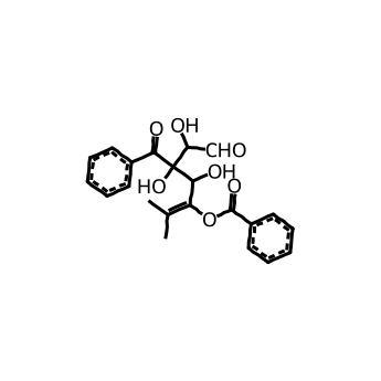 CC(C)=C(OC(=O)c1ccccc1)C(O)C(O)(C(=O)c1ccccc1)C(O)C=O